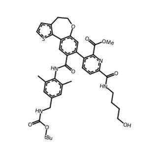 COC(=O)c1nc(C(=O)NCCCCO)ccc1-c1cc2c(cc1C(=O)Nc1c(C)cc(CNC(=O)OC(C)(C)C)cc1C)-c1sccc1CCO2